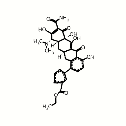 CCOC(=O)c1cccc(-c2ccc(O)c3c2C[C@H]2C[C@H]4[C@H](N(C)C)C(O)=C(C(N)=O)C(=O)[C@@]4(O)C(O)=C2C3=O)c1